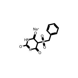 O=C1N=C([O-])NC(=O)C1S(=O)(=O)Cc1ccccc1.[Na+]